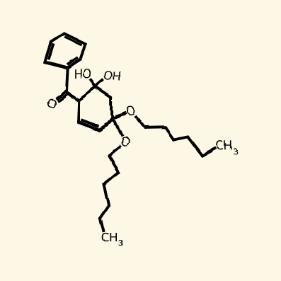 CCCCCCOC1(OCCCCCC)C=CC(C(=O)c2ccccc2)C(O)(O)C1